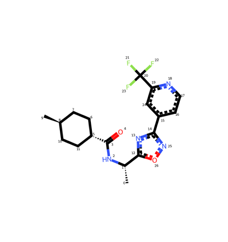 C[C@H](NC(=O)[C@H]1CC[C@H](C)CC1)c1nc(-c2ccnc(C(F)(F)F)c2)no1